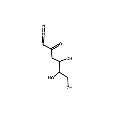 [N-]=[N+]=NC(=O)CC(O)C(O)CO